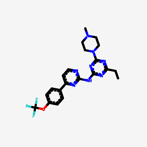 CCc1nc(Nc2nccc(-c3ccc(OC(F)(F)F)cc3)n2)nc(N2CCN(C)CC2)n1